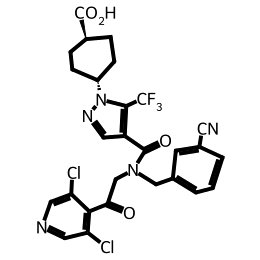 N#Cc1cccc(CN(CC(=O)c2c(Cl)cncc2Cl)C(=O)c2cnn([C@H]3CC[C@H](C(=O)O)CC3)c2C(F)(F)F)c1